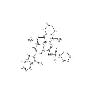 Cc1c(-c2cc(C(=O)NS(=O)(=O)N3CCOCC3)c3c(O[C@H](C)C4CCOCC4)ccc(C)c3n2)oc2ccccc12